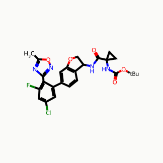 Cc1nc(-c2c(F)cc(Cl)cc2-c2ccc3c(c2)OCC3NC(=O)C2(NC(=O)OC(C)(C)C)CC2)no1